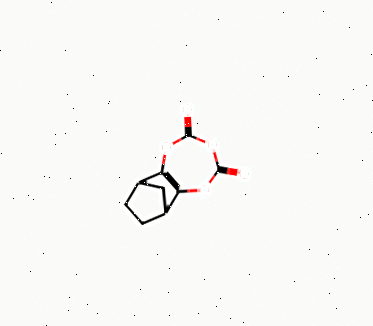 O=C1OC(=O)OC2=C(O1)C1CCC2C1